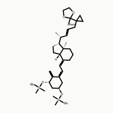 C=C1/C(=C\C=C2/CCC[C@]3(C)[C@@H]([C@H](C)/C=C/CC4(C5(CCCCC)OCCO5)CC4)CC[C@@H]23)C[C@@H](O[Si](C)(C)C(C)(C)C)C[C@@H]1O[Si](C)(C)C(C)(C)C